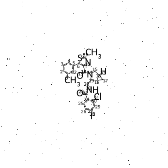 Cc1cccc(-c2sc(C)nc2C(=O)N2C[C@H]3CC3[C@H]2CNC(=O)c2ccc(F)cc2Cl)c1